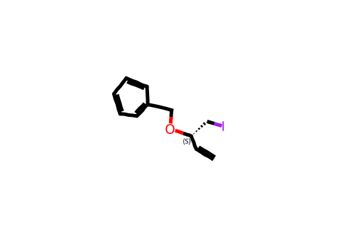 C=C[C@@H](CI)OCc1ccccc1